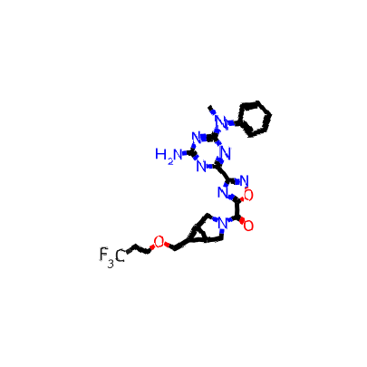 CN(c1ccccc1)c1nc(N)nc(-c2noc(C(=O)N3CC4C(COCCC(F)(F)F)C4C3)n2)n1